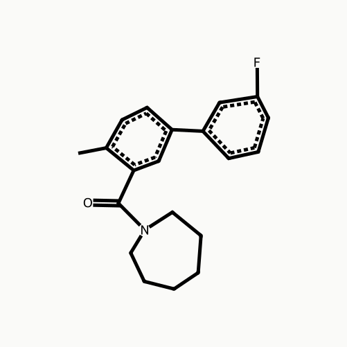 Cc1ccc(-c2cccc(F)c2)cc1C(=O)N1CCCCCC1